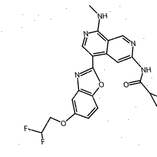 CNc1ncc(-c2nc3cc(OCC(F)F)ccc3o2)c2cc(NC(=O)C3CC3)ncc12